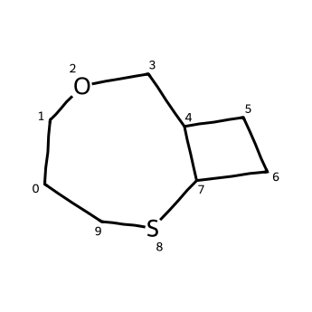 C1COCC2CCC2SC1